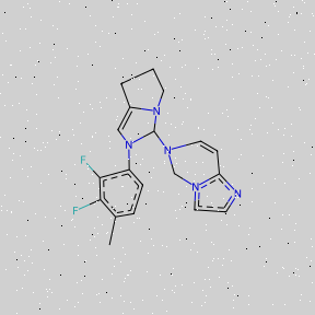 Cc1ccc(N2C=C3CCCN3C2N2C=Cc3nccn3C2)c(F)c1F